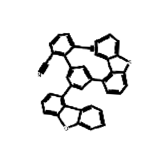 N#Cc1cccc(C#N)c1-c1cc(-c2cccc3oc4ccccc4c23)cc(-c2cccc3sc4ccccc4c23)c1